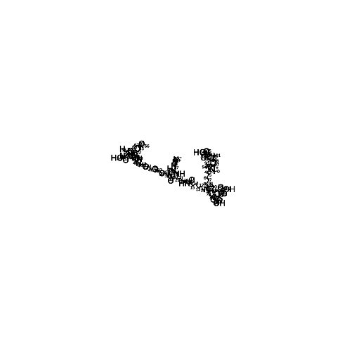 CC[N+]1=C(/C=C/C=C/C=C2/N(CCCCCC(=O)NCCCC[C@H](NC(=O)CN=[N+]=[N-])C(=O)NCCOCCOCCOCCn3cc(CN([C@@H](C(=O)NO)C(C)C)S(=O)(=O)c4ccc(OC)cc4)nn3)c3ccc4c(S(=O)(=O)O)cc(S(=O)(=O)O)cc4c3C2(C)C)C(C)(C)c2c1ccc1c(C)cc(S(=O)(=O)O)cc21